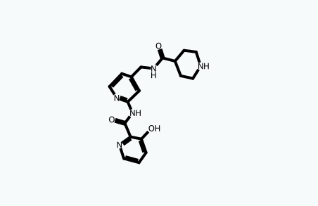 O=C(Nc1cc(CNC(=O)C2CCNCC2)ccn1)c1ncccc1O